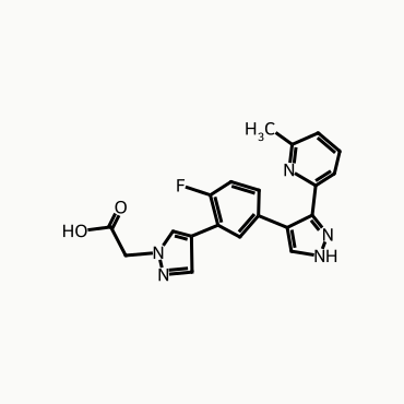 Cc1cccc(-c2n[nH]cc2-c2ccc(F)c(-c3cnn(CC(=O)O)c3)c2)n1